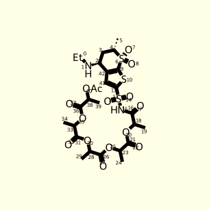 CCN[C@H]1C[C@H](C)S(=O)(=O)c2sc(S(=O)(=O)NC(=O)C(C)OC(=O)C(C)OC(=O)C(C)OC(=O)C(C)OC(=O)C(C)OC(C)=O)cc21